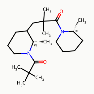 C[C@@H]1CCCCN1C(=O)C(C)(C)CC1CCCN(C(=O)C(C)(C)C)[C@H]1C